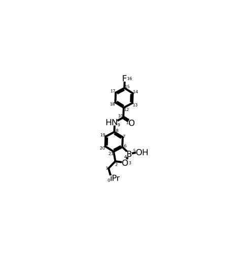 CC(C)CC1OB(O)c2cc(NC(=O)c3ccc(F)cc3)ccc21